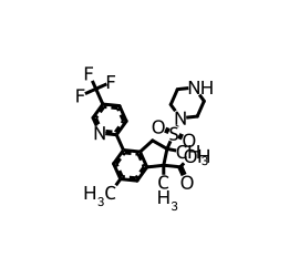 Cc1cc(-c2ccc(C(F)(F)F)cn2)c2c(c1)C(C)(C(=O)O)C(C)(S(=O)(=O)N1CCNCC1)C2